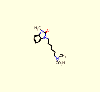 CN(CCCCCCn1c(=O)n(C)c2ccccc21)C(=O)O